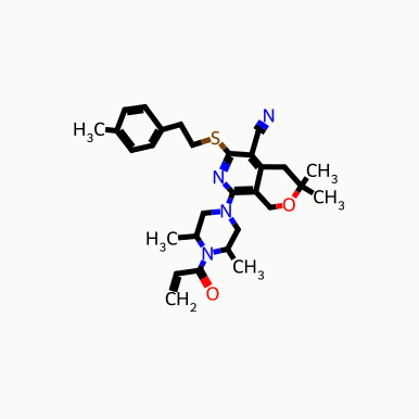 C=CC(=O)N1C(C)CN(c2nc(SCCc3ccc(C)cc3)c(C#N)c3c2COC(C)(C)C3)CC1C